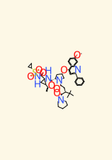 C=CC1CC1(NC(=O)[C@@H]1C[C@@H](Oc2cc(-c3ccccc3)nc3cc(OC)ccc23)CN1C(=O)C[C@H](C(=O)N1CCCCC1)C(C)(C)C)C(=O)NS(=O)(=O)C1CC1